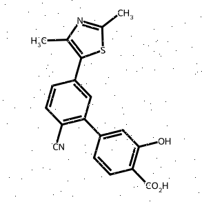 Cc1nc(C)c(-c2ccc(C#N)c(-c3ccc(C(=O)O)c(O)c3)c2)s1